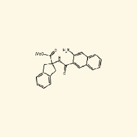 COC(=O)C1(NC(=O)c2cc3ccccc3cc2N)Cc2ccccc2C1